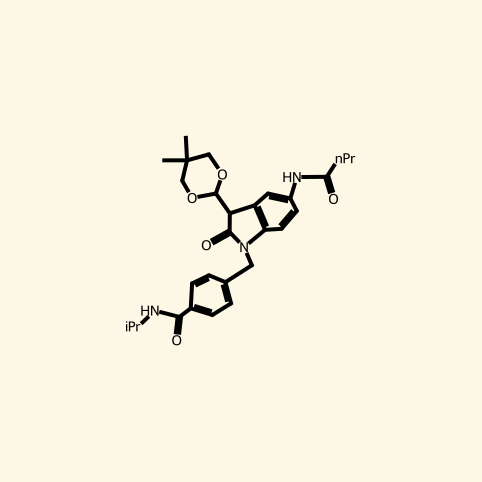 CCCC(=O)Nc1ccc2c(c1)C(C1OCC(C)(C)CO1)C(=O)N2Cc1ccc(C(=O)NC(C)C)cc1